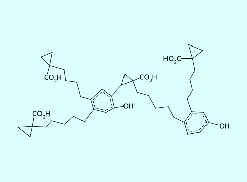 O=C(O)C1(CCCCCc2cc(O)c(C3CC3(CCCCCc3ccc(O)cc3CCCCC3(C(=O)O)CC3)C(=O)O)cc2CCCCC2(C(=O)O)CC2)CC1